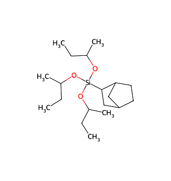 CCC(C)O[Si](OC(C)CC)(OC(C)CC)C1CC2CCC1C2